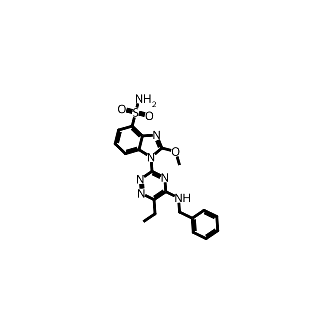 CCc1nnc(-n2c(OC)nc3c(S(N)(=O)=O)cccc32)nc1NCc1ccccc1